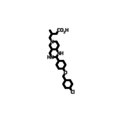 CC(CC(=O)O)CN1CCC2NC(C3CCC(OCC4CCC(Cl)CC4)CC3)NCC2C1